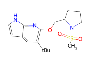 CC(C)(C)c1cc2cc[nH]c2nc1OCC1CCCN1S(C)(=O)=O